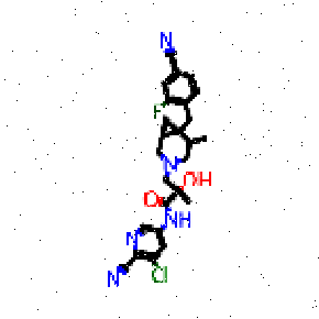 CC1CN(CC(C)(O)C(=O)Nc2cnc(C#N)c(Cl)c2)CC2CC12Cc1ccc(C#N)cc1F